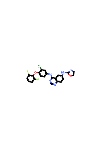 Fc1cccc(F)c1Oc1ccc(Nc2ncnc3ccc(NC4=NCCO4)cc23)cc1Cl